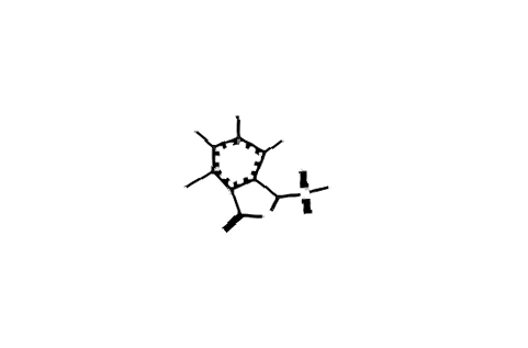 O=C1OC(S(=O)(=O)[O-])c2c(I)c(I)c(I)c(I)c21.[Li+]